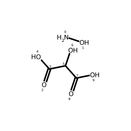 NO.O=C(O)C(O)C(=O)O